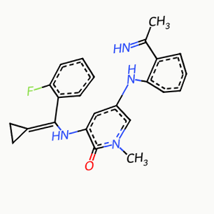 CC(=N)c1ccccc1Nc1cc(NC(=C2CC2)c2ccccc2F)c(=O)n(C)c1